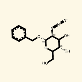 [N-]=[N+]=N[C@H]1C(O)[C@H](O)C(CO)O[C@@H]1OCc1ccccc1